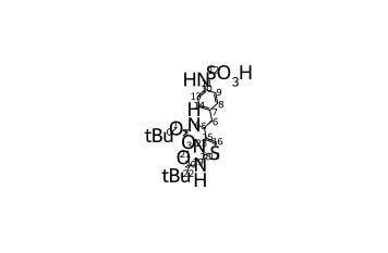 CC(C)(C)OC(=O)N[C@@H](Cc1ccc(NS(=O)(=O)O)cc1)c1csc(NC(=O)C(C)(C)C)n1